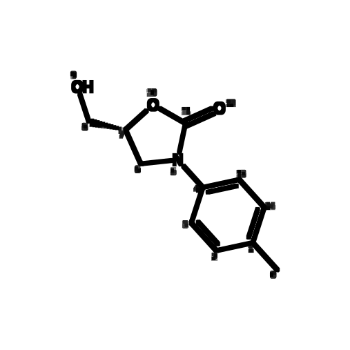 Cc1ccc(N2C[C@H](CO)OC2=O)cc1